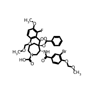 COCOc1ccc(C(=O)N[C@@H]2CN(C(=O)O)CCC[C@]2(OC(=O)c2ccccc2)C(=O)c2c(OCOC)ccc(OC)c2F)cc1Br